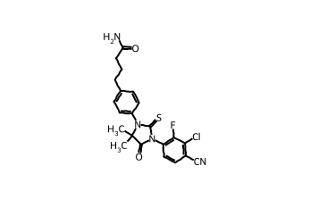 CC1(C)C(=O)N(c2ccc(C#N)c(Cl)c2F)C(=S)N1c1ccc(CCCC(N)=O)cc1